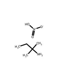 CCC(C)(C)N.O=[N+]([O-])O